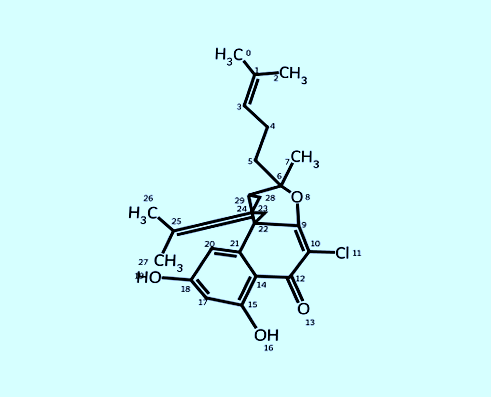 CC(C)=CCCC1(C)OC2=C(Cl)C(=O)c3c(O)cc(O)cc3C23CC(=C(C)C)CC13